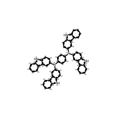 c1ccc2c(c1)[nH]c1ccc(N(c3ccc(N(c4ccc5[nH]c6ccccc6c5c4)c4ccc5[nH]c6ccccc6c5c4)cc3)c3ccc4[nH]c5ccccc5c4c3)cc12